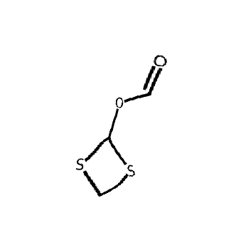 O=COC1SCS1